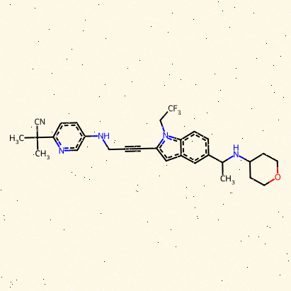 CC(NC1CCOCC1)c1ccc2c(c1)cc(C#CCNc1ccc(C(C)(C)C#N)nc1)n2CC(F)(F)F